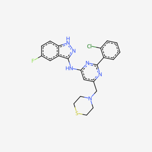 Fc1ccc2[nH]nc(Nc3cc(CN4CCSCC4)nc(-c4ccccc4Cl)n3)c2c1